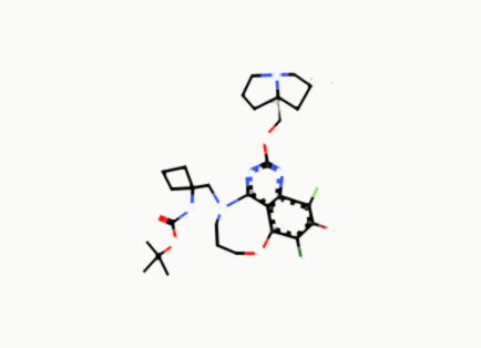 CC(C)(C)OC(=O)NC1(CN2CCCOc3c(Cl)c(Br)c(F)c4nc(OC[C@@]56CCCN5C[C@H](F)C6)nc2c34)CCC1